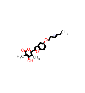 CC/C=C/CCOc1ccc2oc(-c3oc(=O)c(C)c(O)c3C)cc2c1